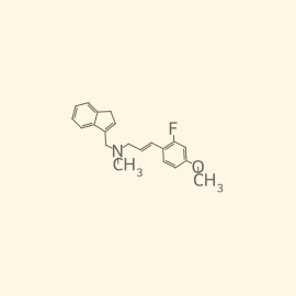 COc1ccc(/C=C/CN(C)CC2=CCc3ccccc32)c(F)c1